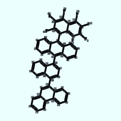 Fc1c(F)c(F)c2c(-c3c4ccccc4c(-c4ccc(-c5cc6ccccc6c6ccccc56)c5ccccc45)c4ccccc34)c(F)c(F)c(F)c2c1F